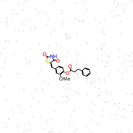 COc1cc(C=C2SC(=O)NC2=O)ccc1OC(=O)CCc1ccccc1